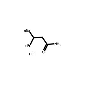 CCCCC(CCC)CC(N)=O.Cl